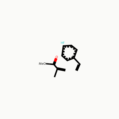 C=C(C)C(=O)OC.C=Cc1ccccc1.F